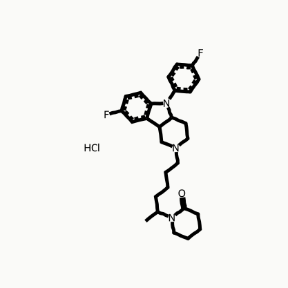 CC(CCCCN1CCC2C(C1)c1cc(F)ccc1N2c1ccc(F)cc1)N1CCCCC1=O.Cl